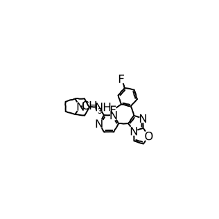 CN1C2CCC1CC(Nc1nccc(-c3c(-c4ccc(F)cc4F)nc4occn34)n1)C2